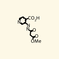 COC(=O)CC(=O)N=Nc1cnccc1C(=O)O